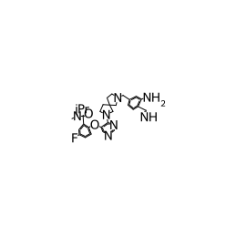 CC(C)N(C)C(=O)c1cc(F)ccc1Oc1cncnc1N1CCC2(CCN(Cc3ccc(C=N)c(N)c3)C2)C1